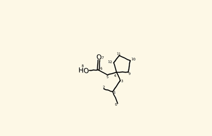 CC(C)CC1(CC(=O)O)CCCC1